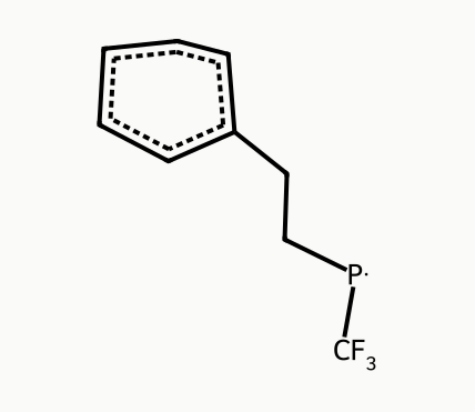 FC(F)(F)[P]CCc1ccccc1